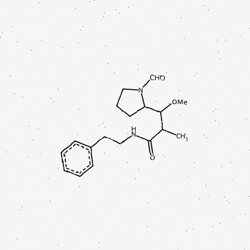 COC(C(C)C(=O)NCCc1ccccc1)C1CCCN1C=O